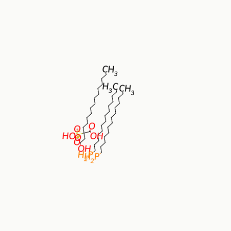 CCCCCCCCCCCCCC(CC(=O)O)(C(=O)O)S(=O)(=O)O.CCCCCCCCCCCCCCP.CCCCCCCCCCCCCCP